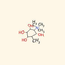 CC1C(O)C(O)C(O)C([N+](C)(C)C)[C@@H]1O